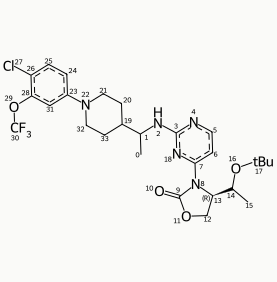 CC(Nc1nccc(N2C(=O)OC[C@@H]2C(C)OC(C)(C)C)n1)C1CCN(c2ccc(Cl)c(OC(F)(F)F)c2)CC1